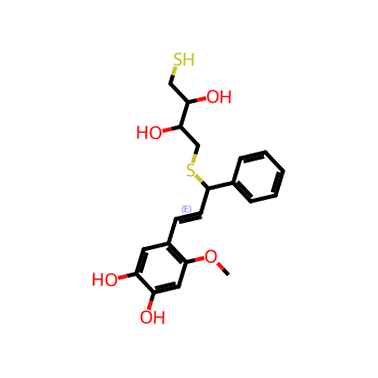 COc1cc(O)c(O)cc1/C=C/C(SCC(O)C(O)CS)c1ccccc1